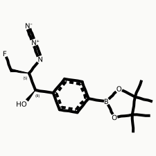 CC1(C)OB(c2ccc([C@@H](O)[C@@H](CF)N=[N+]=[N-])cc2)OC1(C)C